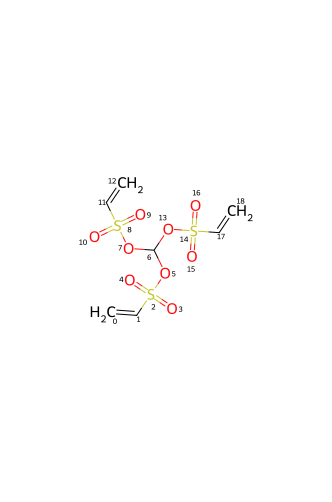 C=CS(=O)(=O)OC(OS(=O)(=O)C=C)OS(=O)(=O)C=C